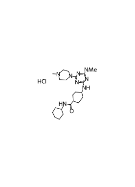 CNc1nc(NC2CCC(C(=O)NC3CCCCC3)CC2)nc(N2CCN(C)CC2)n1.Cl